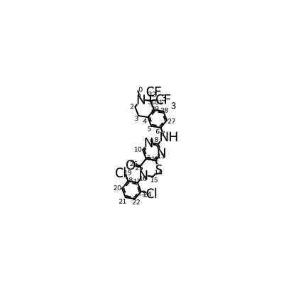 CN1CCc2cc(Nc3ncc4c(n3)SCN(c3c(Cl)cccc3Cl)C4=O)ccc2C1(C(F)(F)F)C(F)(F)F